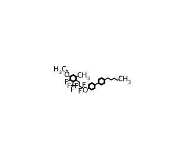 CCCCCc1ccc(-c2ccc(OC(F)(F)CCc3c(C)cc(OCC)c(F)c3C(F)(F)F)cc2)cc1